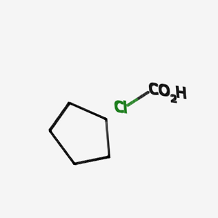 C1CCCC1.O=C(O)Cl